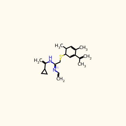 C=C/N=C(\CSC1C=C(C(=C)C)C(C)=CC1C)NC(=C)C1CC1